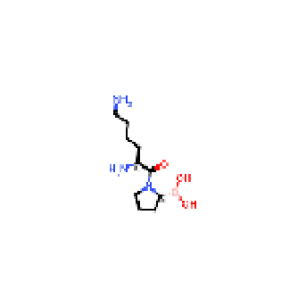 NCCCC[C@H](N)C(=O)N1CCC[C@H]1B(O)O